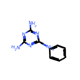 Nc1nc(N)nc(N)n1.c1ccccc1